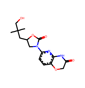 CC(C)(CO)CC1CN(c2ccc3c(n2)NC(=O)CO3)C(=O)O1